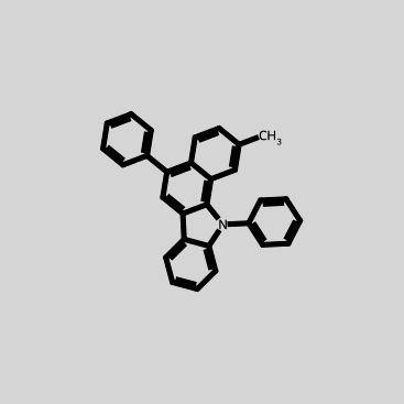 Cc1ccc2c(-c3ccccc3)cc3c4ccccc4n(-c4ccccc4)c3c2c1